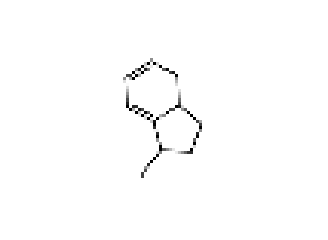 [Ti][CH]1CCC2CC=CC=C12